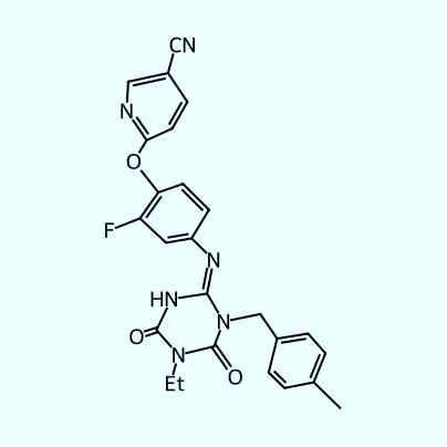 CCn1c(=O)[nH]/c(=N\c2ccc(Oc3ccc(C#N)cn3)c(F)c2)n(Cc2ccc(C)cc2)c1=O